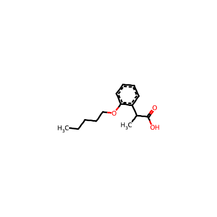 CCCCCOc1ccccc1C(C)C(=O)O